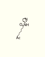 CC(=O)CCCCCCC(=O)Nc1cccnc1